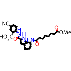 COC(=O)CCCCCCC(=O)Nc1cccc2cc(C(=O)Nc3ccc(C#N)cc3C(=O)O)[nH]c12